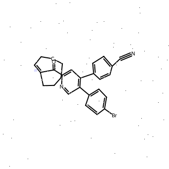 N#Cc1ccc(-c2cc(C(=O)/C3=C\CCCCCC3)ncc2-c2ccc(Br)cc2)cc1